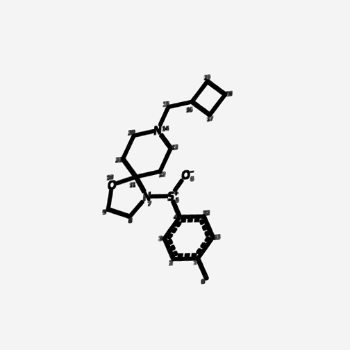 Cc1ccc([S+]([O-])N2CCOC23CCN(CC2CCC2)CC3)cc1